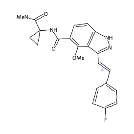 CNC(=O)C1(NC(=O)c2ccc3[nH]nc(/C=C/c4ccc(F)cc4)c3c2OC)CC1